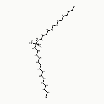 CCCCCCCCCCCCCCOP(=O)(O)SCCCCCCCCCCCCCC